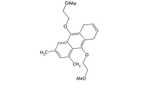 COCCOc1c2c(c(OCCOC)c3c(C)cc(C)cc13)CC=CC2